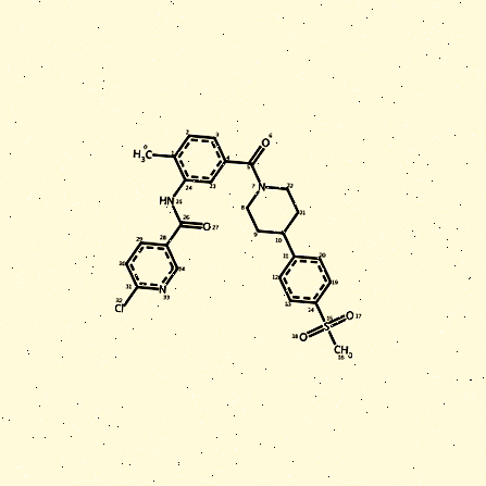 Cc1ccc(C(=O)N2CCC(c3ccc(S(C)(=O)=O)cc3)CC2)cc1NC(=O)c1ccc(Cl)nc1